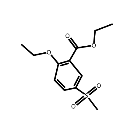 CCOC(=O)c1cc(S(C)(=O)=O)ccc1OCC